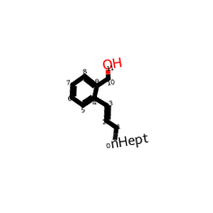 CCCCCCCCC=Cc1ccccc1CO